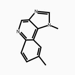 Cc1ccc2ncc3ncn(C)c3c2c1